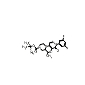 CC1Oc2c(cnn(-c3cc(F)cc(F)c3)c2=O)N2CCN(C(=O)OC(C)(C)C)CC12